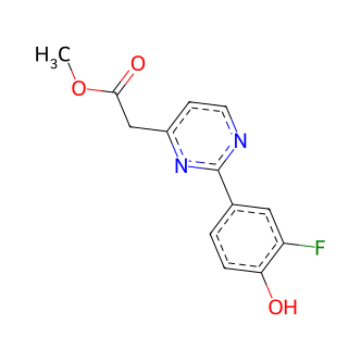 COC(=O)Cc1ccnc(-c2ccc(O)c(F)c2)n1